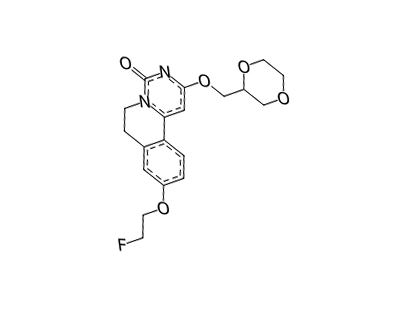 O=c1nc(OCC2COCCO2)cc2n1CCc1cc(OCCF)ccc1-2